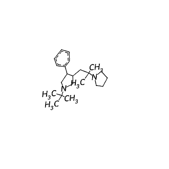 CC(C)(C)N1CC(CC(C)(C)N2CCCC2)C(c2ccccc2)C1